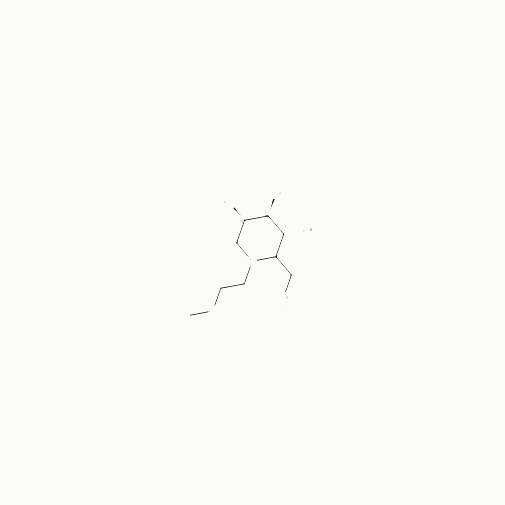 COCCN1C[C@@H](O)[C@@H](O)[C@H](O)C1CO